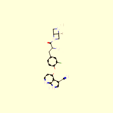 CN1CC2[C@H]1CN2C(=O)C(N)Cc1ccc(Oc2ccnc3[nH]cc(C#N)c23)c(F)c1